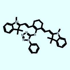 CN1/C(=C/C=C2\CCCC(/C=C/C3=[N+](C)c4ccccc4C3(C)C)=C2Sc2nnnn2-c2ccccc2)C(C)(C)c2ccccc21